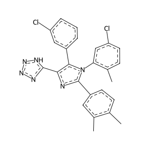 Cc1ccc(-c2nc(-c3nnn[nH]3)c(-c3cccc(Cl)c3)n2-c2cc(Cl)ccc2C)cc1C